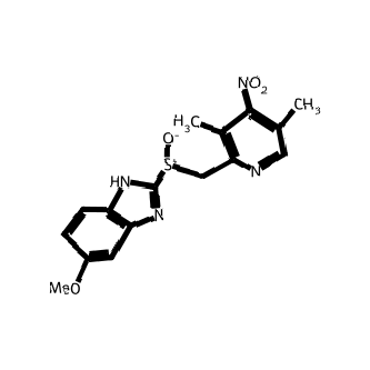 COc1ccc2[nH]c([S+]([O-])Cc3ncc(C)c([N+](=O)[O-])c3C)nc2c1